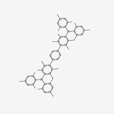 Cc1cc(C)c(B2c3c(C)cc(C)cc3Cc3c(C)c(-c4ccc(-c5c(C)c(C)c6c(c5C)Cc5cc(C)cc(C)c5B6c5c(C)cc(C)cc5C)cc4)c(C)c(C)c32)c(C)c1